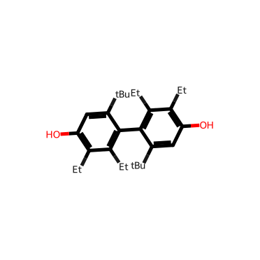 CCc1c(O)cc(C(C)(C)C)c(-c2c(C(C)(C)C)cc(O)c(CC)c2CC)c1CC